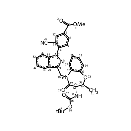 COC(=O)c1ccc(-n2nc(CN3C(=O)[C@@H](NC(=O)OC(C)(C)C)[C@H](C)Oc4ccccc43)c3ccccc32)c(C#N)c1